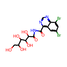 O=C(NC(=O)C(O)C(O)C(O)C(O)CO)c1ncnc2c(Br)cc(Br)cc12